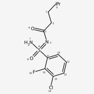 CC(C)CCC(=O)N=S(N)(=O)c1cccc(Cl)c1F